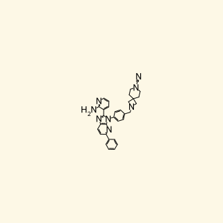 N#CN1CCC2(CC1)CN(Cc1ccc(-n3c(-c4cccnc4N)nc4ccc(-c5ccccc5)nc43)cc1)C2